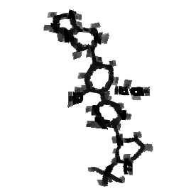 CC(C)(C)[C@H]1CN(c2ncc(-c3ccc(-c4cn5ncnc5cn4)cc3O)nn2)CCN1.Cl.Cl